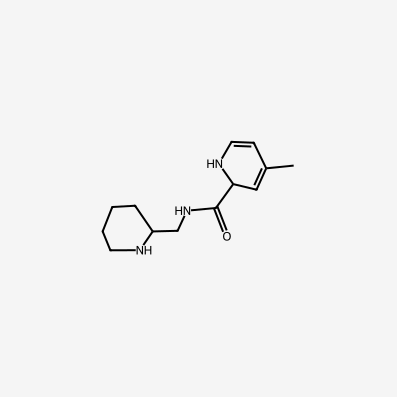 CC1=CC(C(=O)NCC2CCCCN2)NC=C1